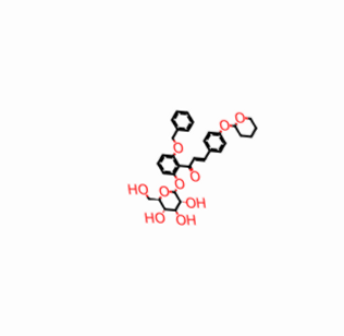 O=C(C=Cc1ccc(OC2CCCCO2)cc1)c1c(OCc2ccccc2)cccc1O[C@@H]1O[C@H](CO)[C@@H](O)[C@H](O)[C@H]1O